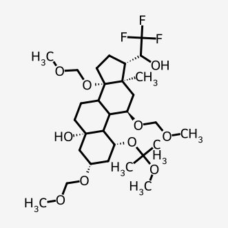 COCO[C@H]1C[C@@H](OC(C)(C)OC)C2C3C(CC[C@]2(O)C1)[C@@]1(OCOC)CC[C@H](C(O)C(F)(F)F)[C@@]1(C)C[C@H]3OCOC